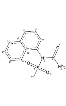 CS(=O)(=O)N(C(N)=O)c1cccc2ccccc12